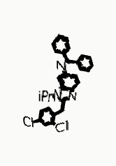 CC(C)n1c(Cc2ccc(Cl)cc2Cl)nc2ccc(N=C(c3ccccc3)c3ccccc3)cc21